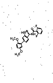 COc1ccc(OC)c(-c2ccc3c(NC(=O)c4c(F)cccc4F)n[nH]c3c2)c1